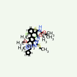 CCSc1nc(NCC2(N(C)C)CCCC2)c2c(COC)c(C)c(-c3c(F)ccc4sc(NC(=O)OC(C)(C)C)c(C#N)c34)c(F)c2n1